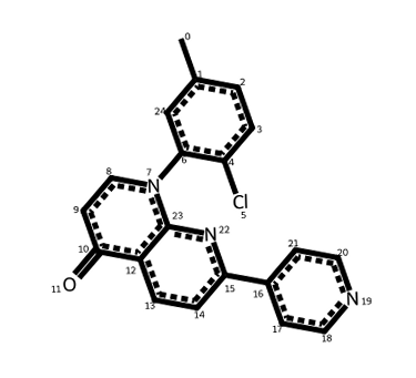 Cc1ccc(Cl)c(-n2ccc(=O)c3ccc(-c4ccncc4)nc32)c1